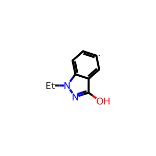 CCn1nc(O)c2c[c]ccc21